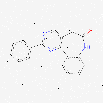 O=C1Cc2cnc(-c3ccccc3)nc2-c2ccccc2N1